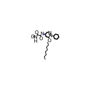 CCCCCCCCOc1c/c(=N\C(=O)C(=O)NOC)cnn1-c1ccccc1